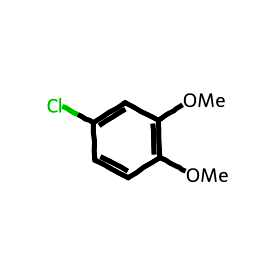 COc1ccc(Cl)cc1OC